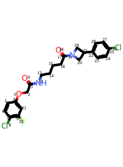 O=C(COc1ccc(Cl)c(F)c1)NCCCCC(=O)N1CC(c2ccc(Cl)cc2)C1